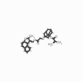 C=C(C)C(=O)OC12CC3CC(CC(OCC(=O)ON=C4c5c(ccc6ccccc56)OC4C)(C3)C1)C2